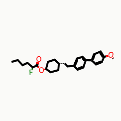 CCCC[C@H](F)C(=O)O[C@H]1CC[C@H](CCc2ccc(-c3ccc(OC)cc3)cc2)CC1